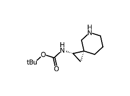 CC(C)(C)OC(=O)N[C@H]1C[C@]12CCCNC2